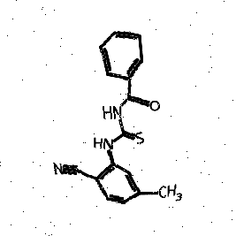 Cc1ccc(C#N)c(NC(=S)NC(=O)c2ccccc2)c1